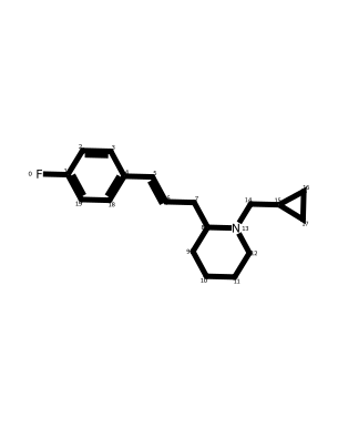 Fc1ccc(C=CCC2CCCCN2CC2CC2)cc1